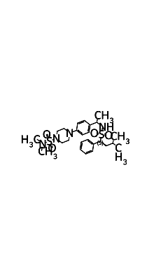 CC(C)C[C@@H](c1ccccc1)S(=O)(=O)NC(C)c1ccc(N2CCN(S(=O)(=O)N(C)C)CC2)cc1